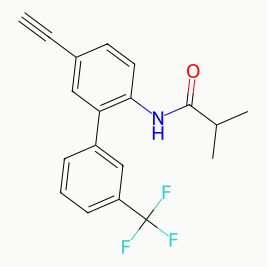 C#Cc1ccc(NC(=O)C(C)C)c(-c2cccc(C(F)(F)F)c2)c1